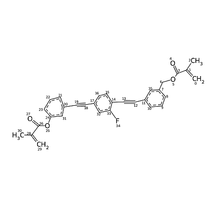 C=C(C)C(=O)OCc1cccc(C#Cc2ccc(C#Cc3cccc(OC(=O)C(=C)C)c3)cc2F)c1